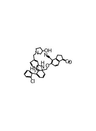 C[C@@H]1C(c2ccccc2Cl)=CC=CC1(COc1ccc2c(c1C#N)CCC2=C=O)Nc1cc(CN2CCC(O)C2)ccn1